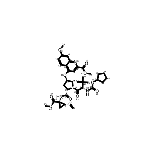 C=C[C@@H]1C[C@]1(NC(=O)[C@@H]1C[C@@H](Oc2cc(C(=O)OC)nc3cc(OC)ccc23)CN1C(=O)[C@@H](NC(=O)OC1CCCC1)C(C)(C)C)C(=O)OC